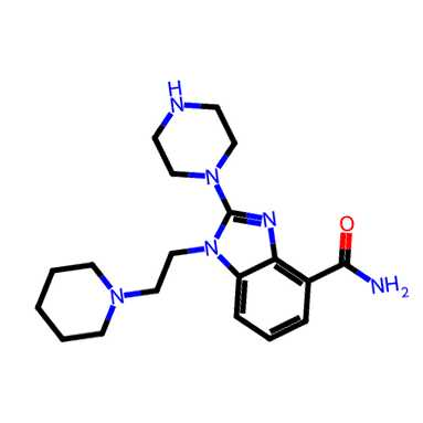 NC(=O)c1cccc2c1nc(N1CCNCC1)n2CCN1CCCCC1